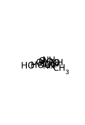 Cc1cn([C@H]2CC[C@H](COP(=O)(O)OCCCCO)O2)c(=O)[nH]c1=O.N